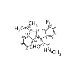 CNCC(O)C(c1cccc(F)c1)N1CC(C(C)C)c2ccccc21